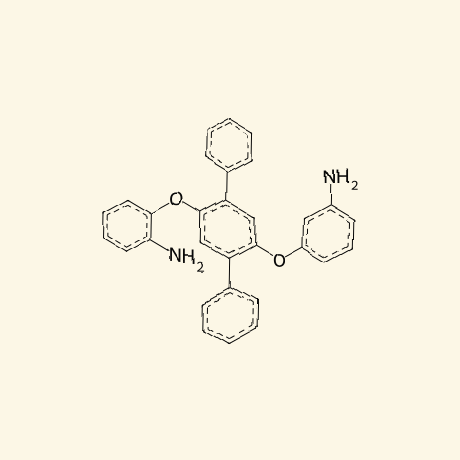 Nc1cccc(Oc2cc(-c3ccccc3)c(Oc3ccccc3N)cc2-c2ccccc2)c1